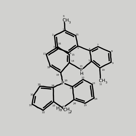 Cc1cccc(-c2cccc(C)c2Pc2ccccc2P(c2ccccc2C)c2ccccc2C)c1